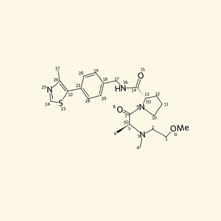 COCCN(C)[C@@H](C)C(=O)N1CCC[C@H]1C(=O)NCc1ccc(-c2scnc2C)cc1